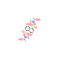 CC(O)N(OS(=O)(=O)c1cccc2c(S(=O)(=O)ON(C(C)O)C(C)O)cccc12)C(C)O